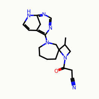 CC1CN(C(=O)CC#N)C12CCCCN(C1=C3C=CNC(=NC=N1)C3)C2